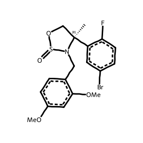 COc1ccc(CN2S(=O)OC[C@@]2(C)c2cc(Br)ccc2F)c(OC)c1